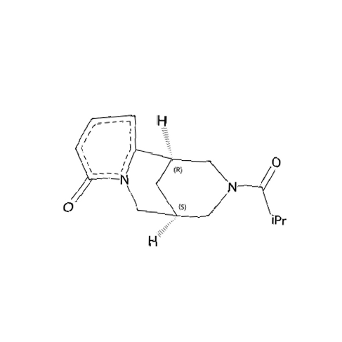 CC(C)C(=O)N1C[C@@H]2C[C@H](C1)c1cccc(=O)n1C2